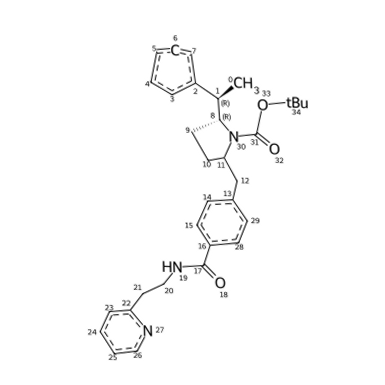 C[C@H](c1ccccc1)[C@H]1CCC(Cc2ccc(C(=O)NCCc3ccccn3)cc2)N1C(=O)OC(C)(C)C